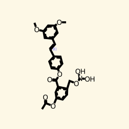 COc1cc(/C=C/c2ccc(OC(=O)c3cc(OC(C)=O)ccc3CON(O)O)cc2)cc(OC)c1